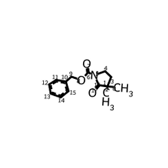 CC1(C)CCN(C(=O)OCc2ccccc2)C1=O